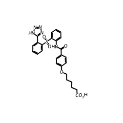 O=C(O)CCCCCOc1ccc(C(=O)Nc2ccccc2S(=O)(=O)c2ccccc2-c2nnn[nH]2)cc1